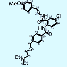 CCN(CC)CCSCc1ccc(C(=O)Nc2ccc(Cl)cc2C(=O)N/N=C/c2ccc(OC)cc2)cc1